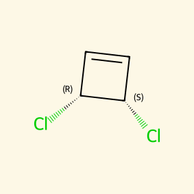 Cl[C@@H]1C=C[C@@H]1Cl